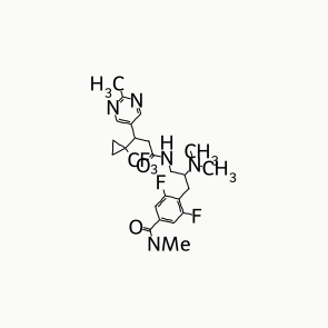 CNC(=O)c1cc(F)c(CC(CNC(=O)CC(c2cnc(C)nc2)C2(C(F)(F)F)CC2)N(C)C)c(F)c1